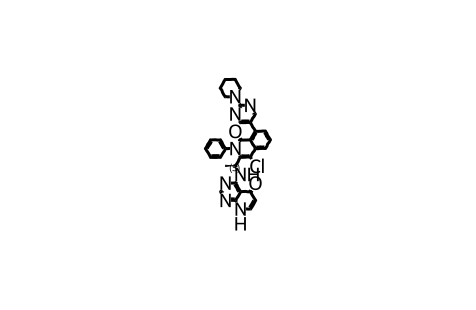 C[C@H](Nc1ncnc2[nH]ccc(=O)c12)c1c(Cl)c2cccc(-c3cnc(N4CCCCC4)nc3)c2c(=O)n1-c1ccccc1